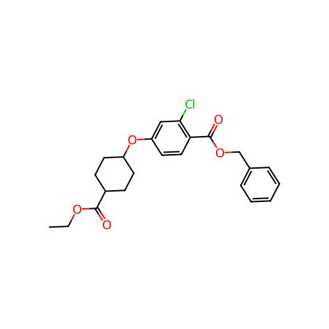 CCOC(=O)C1CCC(Oc2ccc(C(=O)OCc3ccccc3)c(Cl)c2)CC1